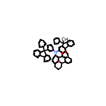 CC1(c2ccccc2)c2ccccc2-c2ccc(N(c3cccc(C4(c5ccccc5)c5ccccc5-c5ccccc54)c3)c3ccccc3-c3cccc4cccc(C5CCCCC5)c34)cc21